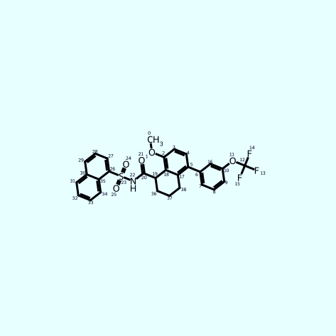 COc1ccc(-c2cccc(OC(F)(F)F)c2)c2c1C(C(=O)NS(=O)(=O)c1cccc3ccccc13)CCC2